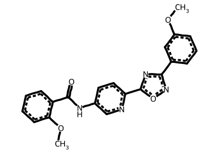 COc1cccc(-c2noc(-c3ccc(NC(=O)c4ccccc4OC)cn3)n2)c1